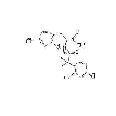 O=C(O)C(Cc1ccc(Cl)cc1Cl)NC(=O)C1(c2ccc(Cl)cc2Cl)CC1